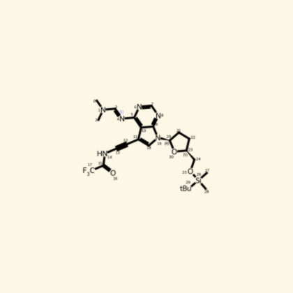 CN(C)/C=N/c1ncnc2c1c(C#CNC(=O)C(F)(F)F)cn2[C@H]1CC[C@@H](CO[Si](C)(C)C(C)(C)C)O1